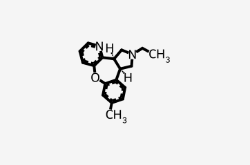 CCN1C[C@@H]2c3ncccc3Oc3cc(C)ccc3[C@@H]2C1